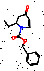 CCC1CC(=O)C=CN1C(=O)OCc1ccccc1